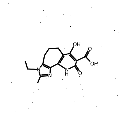 CCn1c(C)nc2c1CCCc1c-2[nH]c(=O)c(C(=O)O)c1O